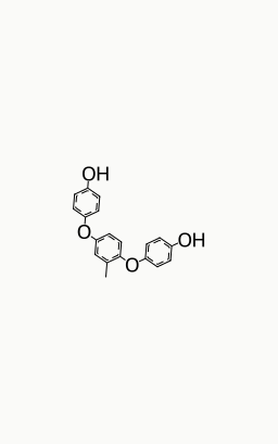 Cc1cc(Oc2ccc(O)cc2)ccc1Oc1ccc(O)cc1